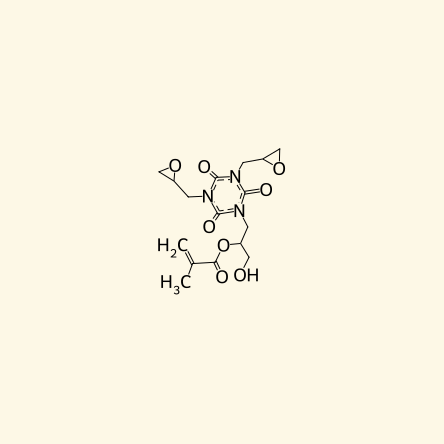 C=C(C)C(=O)OC(CO)Cn1c(=O)n(CC2CO2)c(=O)n(CC2CO2)c1=O